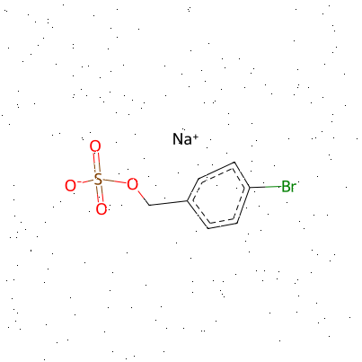 O=S(=O)([O-])OCc1ccc(Br)cc1.[Na+]